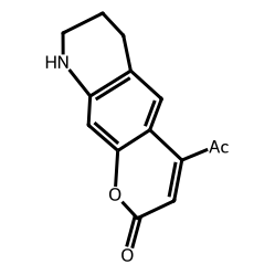 CC(=O)c1cc(=O)oc2cc3c(cc12)CCCN3